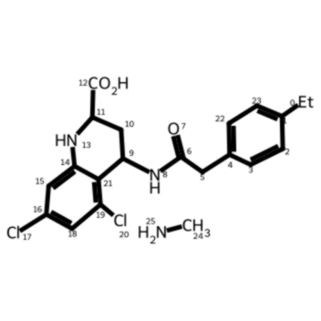 CCc1ccc(CC(=O)NC2CC(C(=O)O)Nc3cc(Cl)cc(Cl)c32)cc1.CN